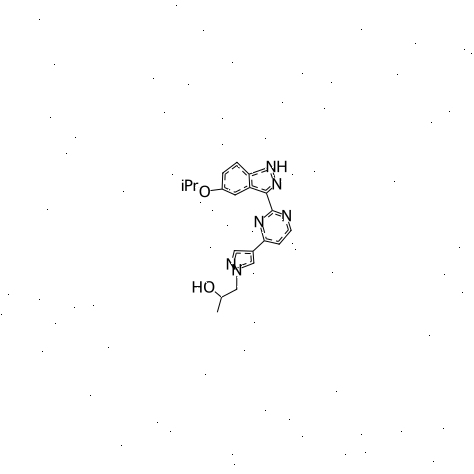 CC(O)Cn1cc(-c2ccnc(-c3n[nH]c4ccc(OC(C)C)cc34)n2)cn1